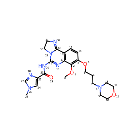 COc1c(OCCCN2CCOCC2)ccc2c1N=C(NC(=O)c1cn(C)cn1)N1CCN=C21